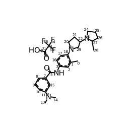 Cc1cc(NC(=O)c2cccc(N(C)C)c2)ccc1N1CCC(N2CCCC2C)C1.O=C(O)C(F)(F)F